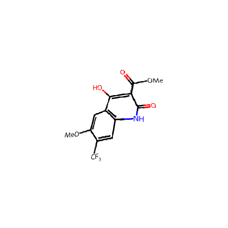 COC(=O)c1c(O)c2cc(OC)c(C(F)(F)F)cc2[nH]c1=O